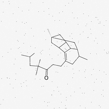 CC(C)CC(C)(C)C(=O)CCC1=C2C3C[C@]4(C)CC(C(C)C1)C2C3C4